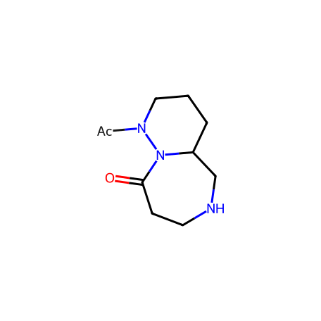 CC(=O)N1CCCC2CNCCC(=O)N21